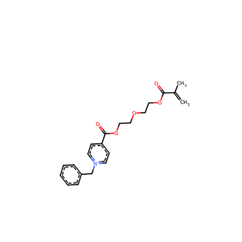 C=C(C)C(=O)OCCOCCOC(=O)c1cc[n+](Cc2ccccc2)cc1